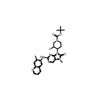 Cc1cc2ncccc2cc1Nc1ncc2c(n1)n(C1CCN(C(=O)OC(C)(C)C)CC1F)c(=O)n2C